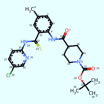 Cc1ccc(NC(=O)C2CCN(C(=O)OC(C)(C)C)CC2)c(C(=S)Nc2ccc(Cl)cn2)c1